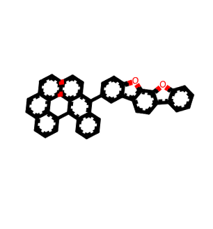 c1ccc2c(c1)ccc1cccc(-c3c4ccccc4c(-c4ccc5oc6c(ccc7c8ccccc8oc76)c5c4)c4ccccc34)c12